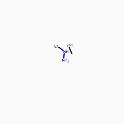 CCCC.CCNN